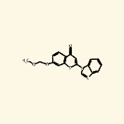 COCOc1ccc2c(=O)cc(-n3cnc4ccccc43)sc2c1